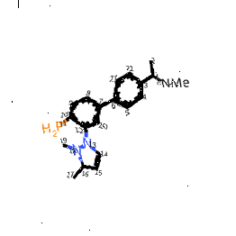 CNC(C)c1ccc(-c2ccc(P)c(N3C=CC(C)N3C)c2)cc1